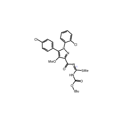 COc1c(C(=O)/N=C(\NC(=O)OC(C)(C)C)SC)nn(-c2ccccc2Cl)c1-c1ccc(Cl)cc1